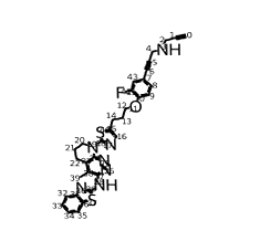 C#CCNCC#Cc1ccc(OCCCc2cnc(N3CCCc4c3nnc(Nc3nc5ccccc5s3)c4C)s2)c(F)c1